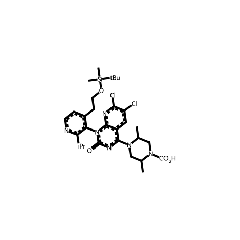 CC(C)c1nccc(CCO[Si](C)(C)C(C)(C)C)c1-n1c(=O)nc(N2CC(C)N(C(=O)O)CC2C)c2cc(Cl)c(Cl)nc21